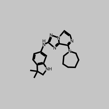 CC1(C)CNc2cc(Nc3nc4c(N5CCCCCC5)nccn4n3)ccc21